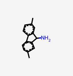 Cc1ccc2c(c1)C(N)c1cc(C)ccc1-2